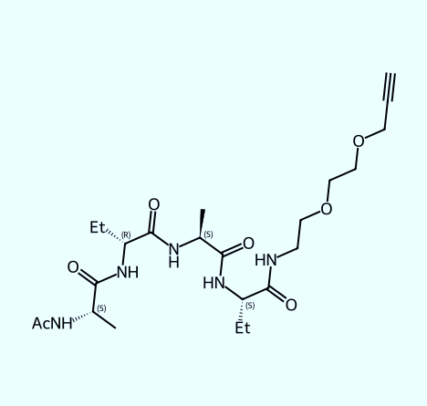 C#CCOCCOCCNC(=O)[C@H](CC)NC(=O)[C@H](C)NC(=O)[C@@H](CC)NC(=O)[C@H](C)NC(C)=O